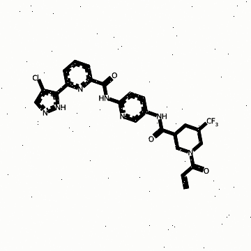 C=CC(=O)N1CC(C(=O)Nc2ccc(NC(=O)c3cccc(-c4[nH]ncc4Cl)n3)nc2)CC(C(F)(F)F)C1